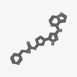 O=C(NCc1cccnc1)OC1CCC(c2cc(Nc3nccn4nccc34)n[nH]2)C1